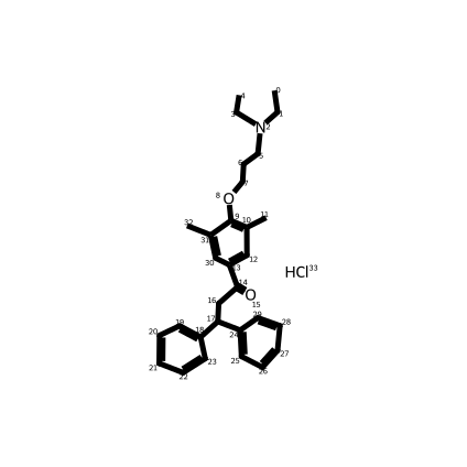 CCN(CC)CCCOc1c(C)cc(C(=O)CC(c2ccccc2)c2ccccc2)cc1C.Cl